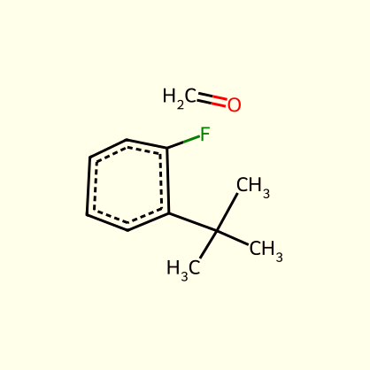 C=O.CC(C)(C)c1ccccc1F